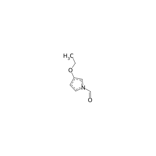 CCOc1ccn(C=O)c1